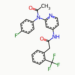 CC(=O)N(c1ccc(F)cc1)c1cc(NC(=O)Cc2ccccc2C(F)(F)F)ccn1